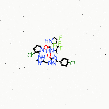 O=C(NC(Cn1c(-c2ccc(Cl)cc2)nn(Cc2ncn(-c3ncccc3Cl)n2)c1=O)C(F)(F)F)[C@H]1C[C@@H](F)CN1